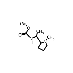 CC(NC(=O)OC(C)(C)C)C1CCCN1C